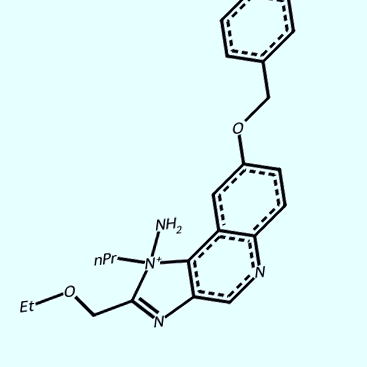 CCC[N+]1(N)C(COCC)=Nc2cnc3ccc(OCc4ccccc4)cc3c21